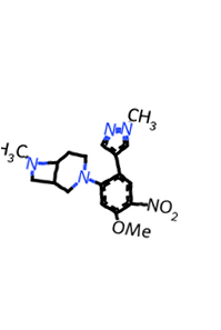 COc1cc(N2CCC3C(C2)CN3C)c(-c2cnn(C)c2)cc1[N+](=O)[O-]